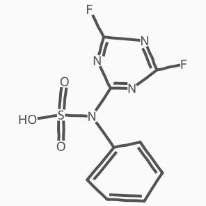 O=S(=O)(O)N(c1ccccc1)c1nc(F)nc(F)n1